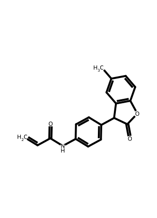 C=CC(=O)Nc1ccc(C2C(=O)Oc3ccc(C)cc32)cc1